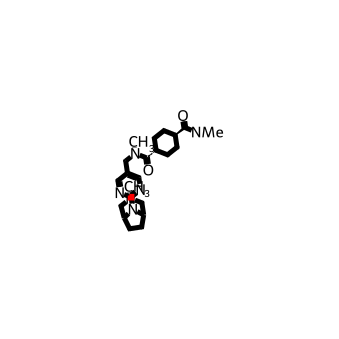 CNC(=O)[C@H]1CC[C@H](C(=O)N(C)Cc2cnc(N3C4CCC3CN(C)C4)nc2)CC1